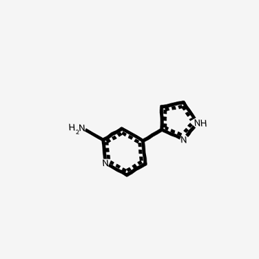 Nc1cc(-c2cc[nH]n2)ccn1